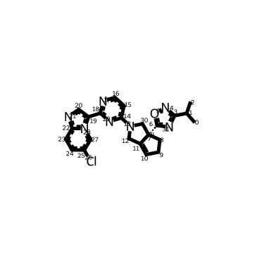 CC(C)c1noc([C@]23CCC=C2CN(c2ccnc(-c4cnc5ccc(Cl)cn45)n2)C3)n1